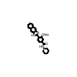 COc1cc(C(=O)NN2CCCCC2)ccc1-c1nc2cc3ccccc3cc2[nH]1